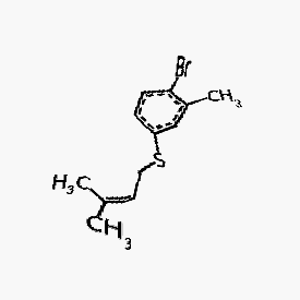 CC(C)=CCSc1ccc(Br)c(C)c1